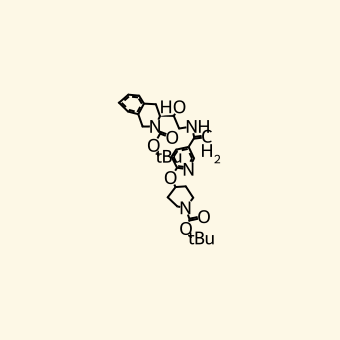 C=C(NCC(O)[C@@H]1Cc2ccccc2CN1C(=O)OC(C)(C)C)c1ccc(OC2CCN(C(=O)OC(C)(C)C)CC2)nc1